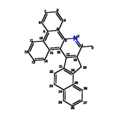 Cc1nc2c3ccccc3c3ccccc3c2c2c1Cc1c-2ccc2ccccc12